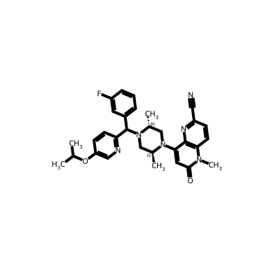 CC(C)Oc1ccc(C(c2cccc(F)c2)N2C[C@H](C)N(c3cc(=O)n(C)c4ccc(C#N)nc34)C[C@H]2C)nc1